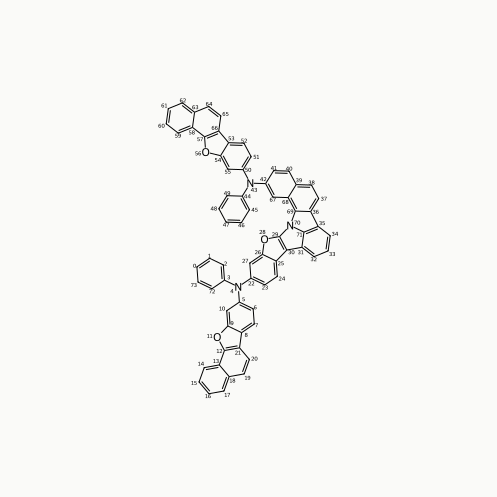 c1ccc(N(c2ccc3c(c2)oc2c4ccccc4ccc32)c2ccc3c(c2)oc2c3c3cccc4c5ccc6ccc(N(c7ccccc7)c7ccc8c(c7)oc7c9ccccc9ccc87)cc6c5n2c43)cc1